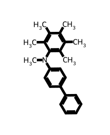 Cc1c(C)c(C)c(N(C)c2ccc(-c3ccccc3)cc2)c(C)c1C